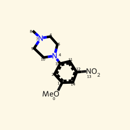 COc1cc(N2CCN(C)CC2)cc([N+](=O)[O-])c1